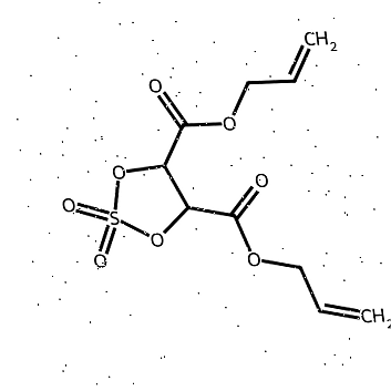 C=CCOC(=O)C1OS(=O)(=O)OC1C(=O)OCC=C